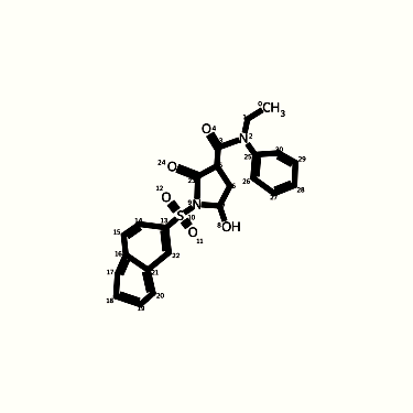 CCN(C(=O)C1CC(O)N(S(=O)(=O)c2ccc3ccccc3c2)C1=O)c1ccccc1